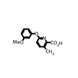 COc1cccc(Oc2ccc(C)c(C(=O)O)n2)c1